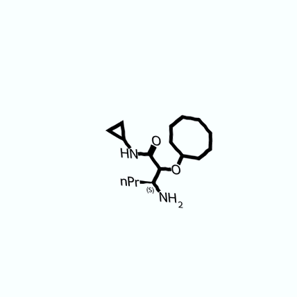 CCC[C@H](N)C(OC1CCCCCCC1)C(=O)NC1CC1